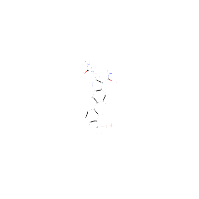 C[C@@H](O)c1cccc(-c2ccc3c(C(N)=O)c(NC(N)=O)[nH]c3c2)c1